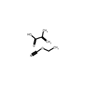 C=C(C)C(=O)O.CCOC#N